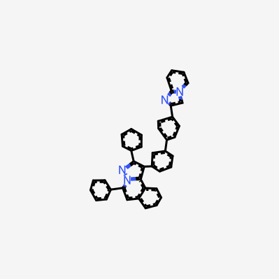 c1ccc(-c2nn3c(-c4ccccc4)cc4ccccc4c3c2-c2cccc(-c3ccc(-c4cn5ccccc5n4)cc3)c2)cc1